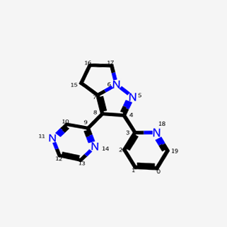 c1ccc(-c2nn3c(c2-c2cnccn2)CCC3)nc1